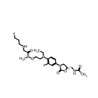 CCN(CCON(C)C(=O)CNCCCF)c1ccc(N2C[C@H](CNC(C)=O)OC2=O)cc1F